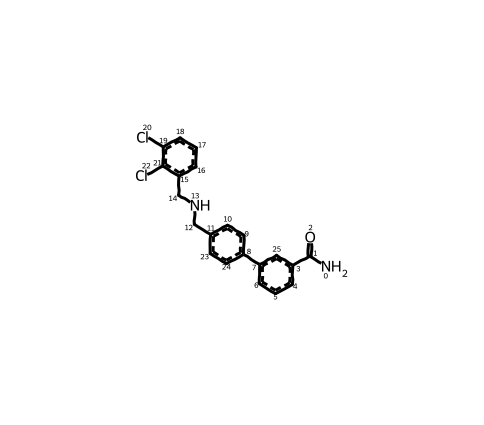 NC(=O)c1cccc(-c2ccc(CNCc3cccc(Cl)c3Cl)cc2)c1